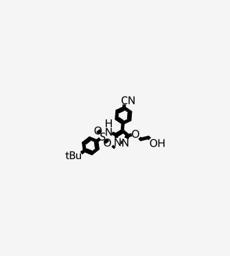 Cn1nc(OCCO)c(-c2ccc(C#N)cc2)c1NS(=O)(=O)c1ccc(C(C)(C)C)cc1